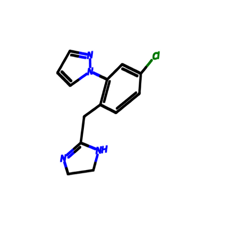 Clc1ccc(CC2=NCCN2)c(-n2cccn2)c1